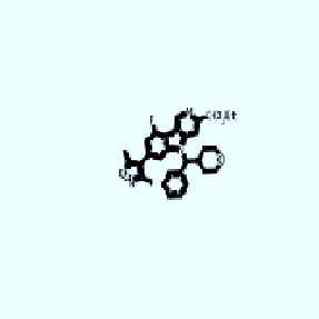 CCOC(=O)c1cc2c(cn1)c1c(F)cc(-c3c(C)noc3C)cc1n2C(c1ccccc1)C1CCOCC1